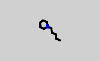 CCCCCN1CC=CCC1